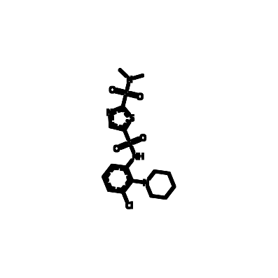 CN(C)S(=O)(=O)c1ncc(S(=O)(=O)Nc2cccc(Cl)c2N2CCCCC2)s1